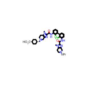 CCCN1CCc2c(nc(C(=O)Nc3cccc(-c4cccc(NC(=O)c5nc6c(n5C)CCN(C[C@H]5CC[C@@H](C(=O)O)CC5)C6)c4Cl)c3Cl)n2C)C1